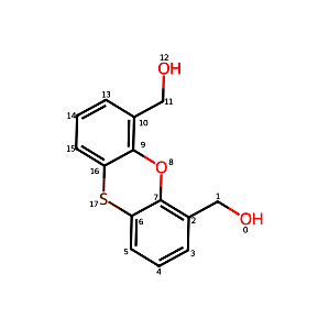 OCc1cccc2c1Oc1c(CO)cccc1S2